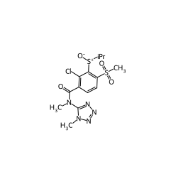 CC(C)[S+]([O-])c1c(S(C)(=O)=O)ccc(C(=O)N(C)c2nnnn2C)c1Cl